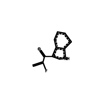 C=C(F)C(=O)c1c[nH]c2ccccc12